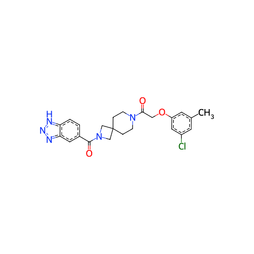 Cc1cc(Cl)cc(OCC(=O)N2CCC3(CC2)CN(C(=O)c2ccc4[nH]nnc4c2)C3)c1